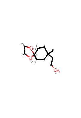 CC1(CCO)CCC2(CC1)OCCO2